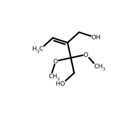 CC=C(CO)C(CO)(OC)OC